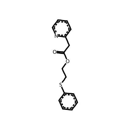 O=C(Cc1ccccn1)OCCSc1ccccc1